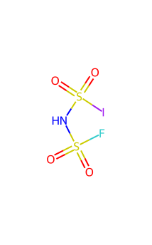 O=S(=O)(F)NS(=O)(=O)I